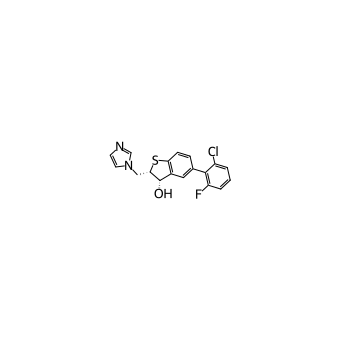 O[C@H]1c2cc(-c3c(F)cccc3Cl)ccc2S[C@H]1Cn1ccnc1